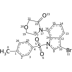 Cc1ccc(S(=O)(=O)n2cc(Br)c3cccc(N4CCOCC4=O)c32)cc1